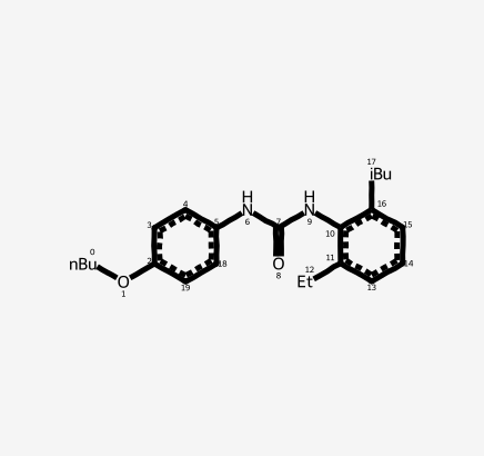 CCCCOc1ccc(NC(=O)Nc2c(CC)cccc2C(C)CC)cc1